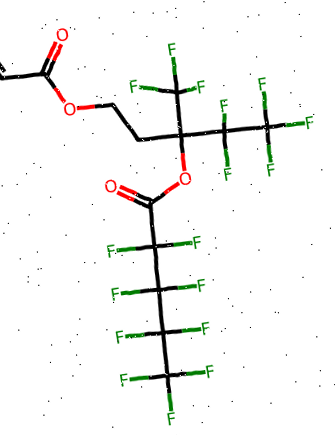 C=CC(=O)OCCC(OC(=O)C(F)(F)C(F)(F)C(F)(F)C(F)(F)F)(C(F)(F)F)C(F)(F)C(F)(F)F